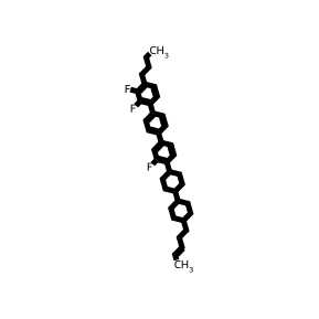 C/C=C/CCC1CCC(C2CCC(c3ccc(-c4ccc(-c5ccc(CCCC)c(F)c5F)cc4)cc3F)CC2)CC1